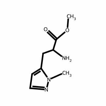 COC(=O)C(N)Cc1ccnn1C